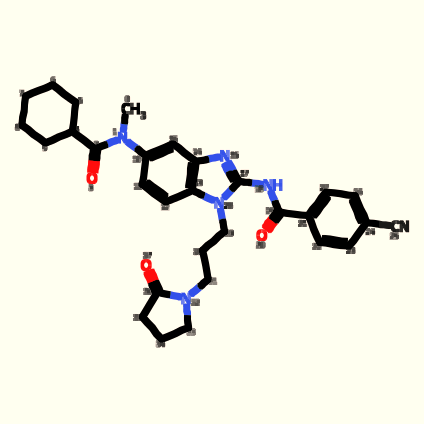 CN(C(=O)C1CCCCC1)c1ccc2c(c1)nc(NC(=O)c1ccc(C#N)cc1)n2CCCN1CCCC1=O